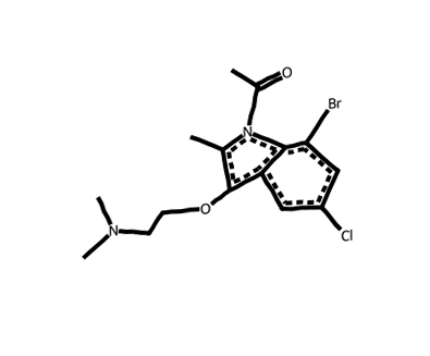 CC(=O)n1c(C)c(OCCN(C)C)c2cc(Cl)cc(Br)c21